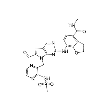 CNC(=O)c1ccc(Nc2ncc3cc(C=O)n(Cc4nccnc4NS(C)(=O)=O)c3n2)c2c1CCO2